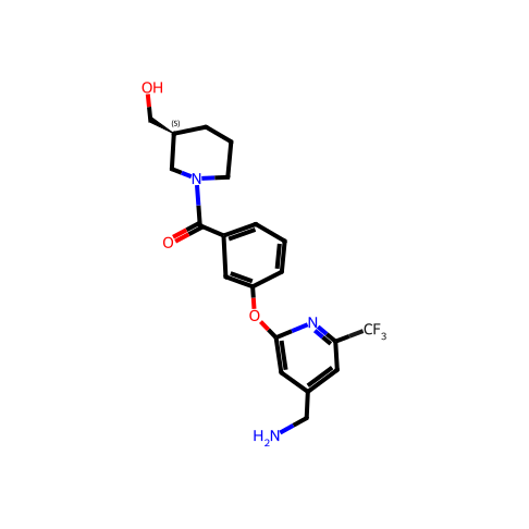 NCc1cc(Oc2cccc(C(=O)N3CCC[C@H](CO)C3)c2)nc(C(F)(F)F)c1